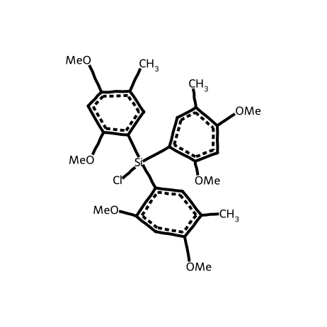 COc1cc(OC)c([Si](Cl)(c2cc(C)c(OC)cc2OC)c2cc(C)c(OC)cc2OC)cc1C